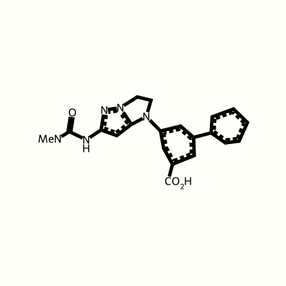 CNC(=O)Nc1cc2n(n1)CCN2c1cc(C(=O)O)cc(-c2ccccc2)c1